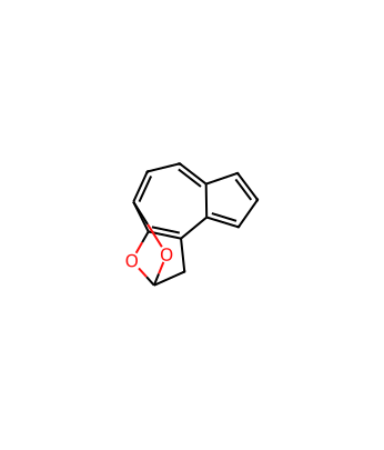 c1cc2ccc3c4c(c-2c1)CC(O3)O4